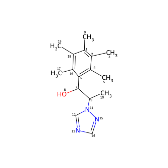 Cc1c(C)c(C)c(C(O)C(C)n2cncn2)c(C)c1C